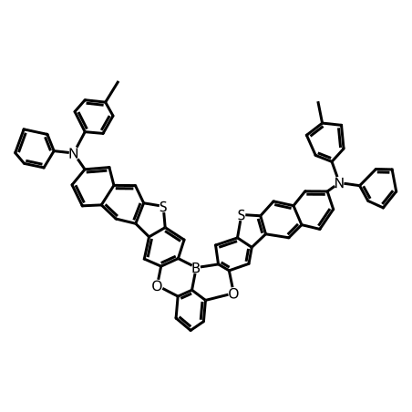 Cc1ccc(N(c2ccccc2)c2ccc3cc4c(cc3c2)sc2cc3c(cc24)Oc2cccc4c2B3c2cc3sc5cc6cc(N(c7ccccc7)c7ccc(C)cc7)ccc6cc5c3cc2O4)cc1